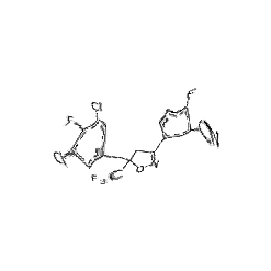 N#Cc1cc(C2=NOC(c3cc(Cl)c(F)c(Cl)c3)(C(F)(F)F)C2)ccc1F